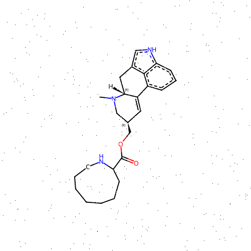 CN1C[C@H](COC(=O)C2CCCCCCCN2)C=C2c3cccc4[nH]cc(c34)C[C@H]21